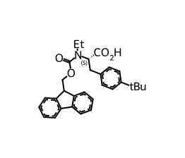 CCN(C(=O)OCC1c2ccccc2-c2ccccc21)[C@@H](Cc1ccc(C(C)(C)C)cc1)C(=O)O